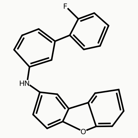 Fc1ccccc1-c1cccc(Nc2ccc3oc4ccccc4c3c2)c1